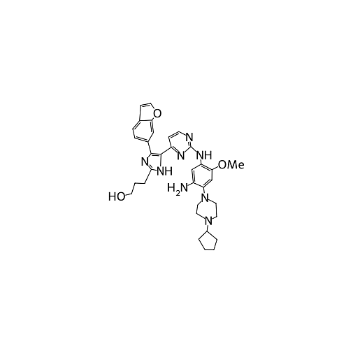 COc1cc(N2CCN(C3CCCC3)CC2)c(N)cc1Nc1nccc(-c2[nH]c(CCCO)nc2-c2ccc3ccoc3c2)n1